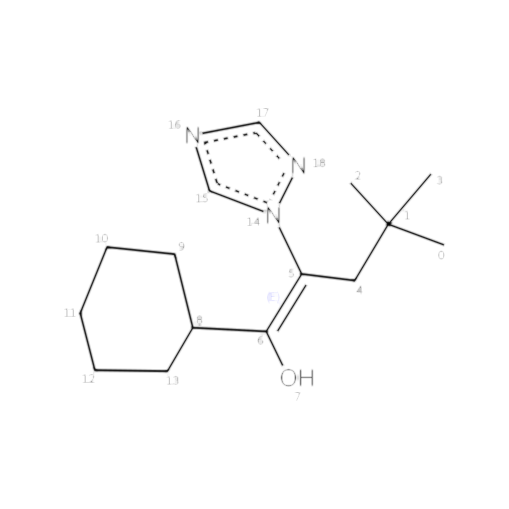 CC(C)(C)C/C(=C(\O)C1CCCCC1)n1cncn1